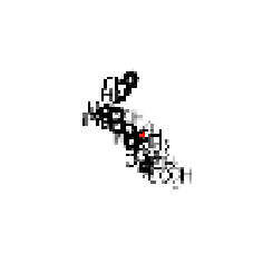 CC(C)C1=C2[C@H]3CC[C@@H]4[C@@]5(C)CC[C@H](OC(=O)[C@H]6C[C@@H](C(=O)O)C6(C)C)C(C)(C)[C@@H]5CC[C@@]4(C)[C@]3(C)CC[C@@]2(CCNCc2ccccc2Cl)CC1=O